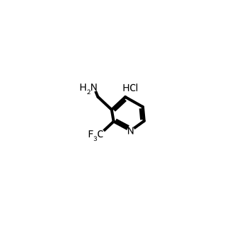 Cl.NCc1cccnc1C(F)(F)F